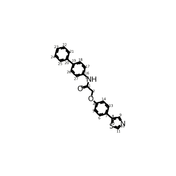 O=C(COc1ccc(-c2cncs2)cc1)Nc1ccc(-c2ccccc2)cc1